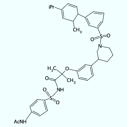 CC(=O)Nc1ccc(S(=O)(=O)NC(=O)C(C)(C)Oc2cccc(C3CCCN(S(=O)(=O)c4cccc(C5C=CC(C(C)C)=CC5C)c4)C3)c2)cc1